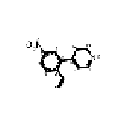 C=Cc1ccc([N+](=O)[O-])cc1C1=CC=NCC1